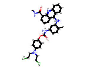 CNC(=O)c1cccc2c(Nc3cc(NC(=O)Oc4ccc(N(CCCl)CCCl)cc4)ccc3C)c3ccccc3nc12